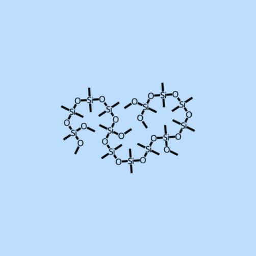 CO[Si](C)(OC)O[Si](C)(C)O[Si](C)(C)O[Si](C)(C)O[Si](C)(OC)O[Si](C)(C)O[Si](C)(C)O[Si](C)(C)O[Si](C)(OC)O[Si](C)(C)O[Si](C)(C)O[Si](C)(C)O[Si](C)(OC)OC